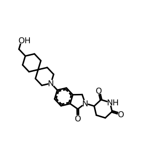 O=C1CCC(N2Cc3cc(N4CCC5(CCC(CO)CC5)CC4)ccc3C2=O)C(=O)N1